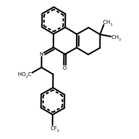 CC1(C)CCC2=C(C1)c1ccccc1/C(=N/C(Cc1ccc(C(F)(F)F)cc1)C(=O)O)C2=O